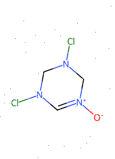 [O-][N+]1=CN(Cl)CN(Cl)C1